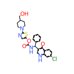 O=C(NC(c1ccccc1)c1c[nH]c2cc(Cl)ccc2c1=O)Oc1cnc(N2CCC(CO)CC2)s1